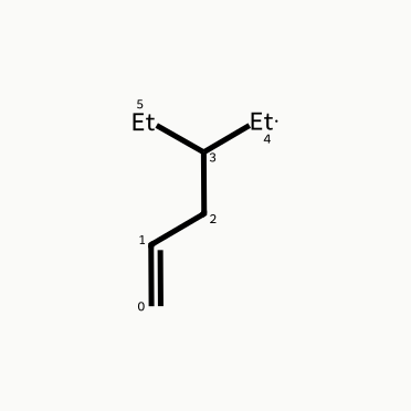 C=CCC([CH]C)CC